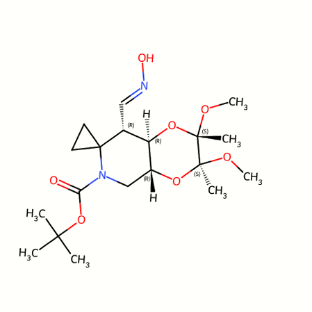 CO[C@@]1(C)O[C@@H]2[C@@H](C=NO)C3(CC3)N(C(=O)OC(C)(C)C)C[C@H]2O[C@]1(C)OC